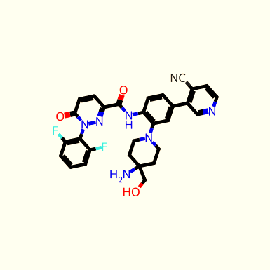 N#Cc1ccncc1-c1ccc(NC(=O)c2ccc(=O)n(-c3c(F)cccc3F)n2)c(N2CCC(N)(CO)CC2)c1